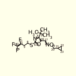 CC(C)(C)c1nc(SCCC(F)=C(F)F)oc1C=NOCC1CC1